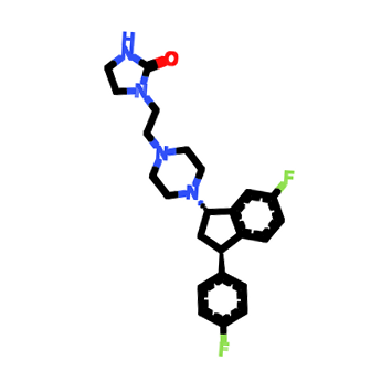 O=C1NCCN1CCN1CCN([C@H]2C[C@H](c3ccc(F)cc3)c3ccc(F)cc32)CC1